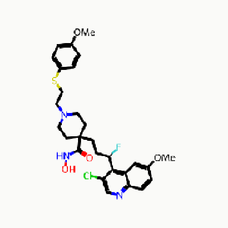 COc1ccc(SCCN2CCC(CC[C@@H](F)c3c(Cl)cnc4ccc(OC)cc34)(C(=O)NO)CC2)cc1